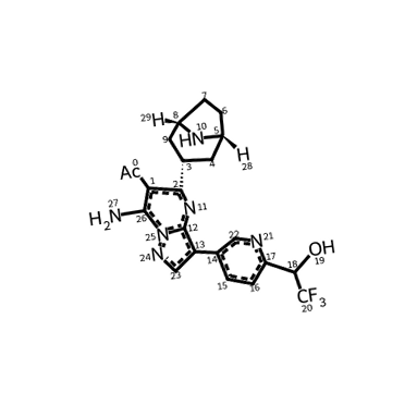 CC(=O)c1c([C@H]2C[C@H]3CC[C@@H](C2)N3)nc2c(-c3ccc(C(O)C(F)(F)F)nc3)cnn2c1N